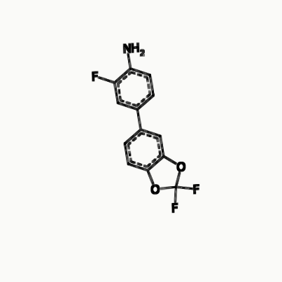 Nc1ccc(-c2ccc3c(c2)OC(F)(F)O3)cc1F